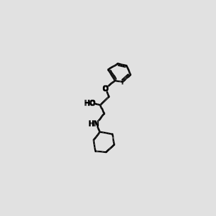 OC(CNC1CCCCC1)COc1[c]cccc1